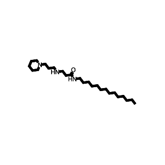 CCCCCCCCCCCCCCNC(=O)CCNCCCN1CCCCC1